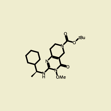 COn1c(N[C@@H](C)C2CCCCC2)nc2c(c1=O)CN(C(=O)OC(C)(C)C)CC2